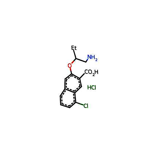 CCC(CN)Oc1cc2cccc(Cl)c2cc1C(=O)O.Cl